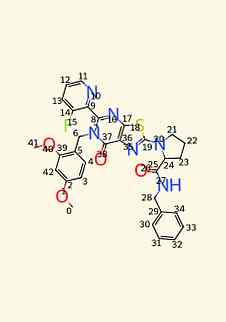 COc1ccc(Cn2c(-c3ncccc3F)nc3sc(N4CCCC4C(=O)NCc4ccccc4)nc3c2=O)c(OC)c1